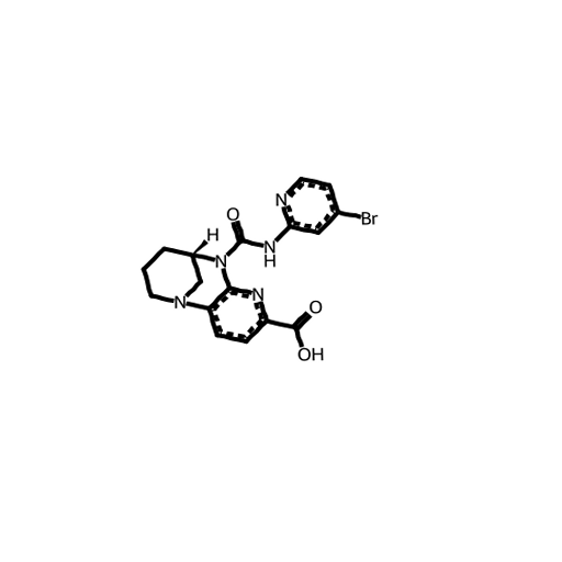 O=C(O)c1ccc2c(n1)N(C(=O)Nc1cc(Br)ccn1)[C@H]1CCCN2C1